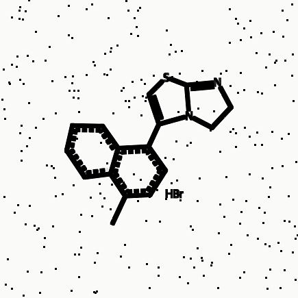 Br.Cc1ccc(C2=CSC3=NCCN23)c2ccccc12